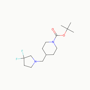 CC(C)(C)OC(=O)N1CCC(CN2CCC(F)(F)C2)CC1